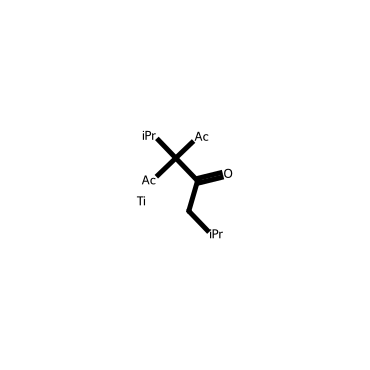 CC(=O)C(C(C)=O)(C(=O)CC(C)C)C(C)C.[Ti]